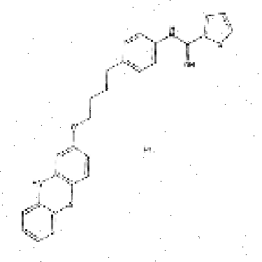 I.N=C(Nc1ccc(CCCCOc2ccc3c(c2)Nc2ccccc2S3)cc1)c1cccs1